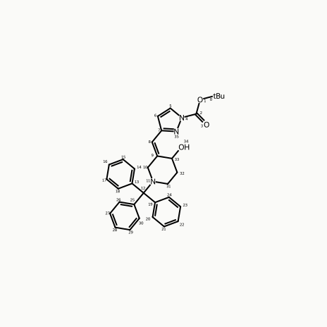 CC(C)(C)OC(=O)n1ccc(C=C2CN(C(c3ccccc3)(c3ccccc3)c3ccccc3)CCC2O)n1